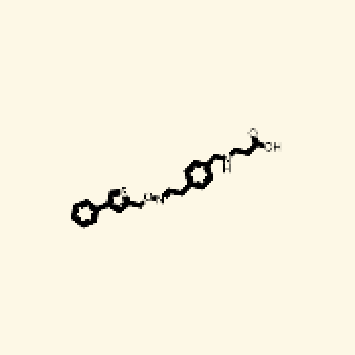 O=C(O)CCNCc1ccc(CC=NOCc2cc(-c3ccccc3)cs2)cc1